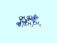 Cc1ccc(N(c2ccc(N(c3ccccc3)c3ccccc3)cc2)c2ccc(-n3c(C)c(C)c4cc(-c5ccc6c(c5)c(C)c(C)n6-c5ccc(N(c6ccc(C)cc6)c6ccc(N(c7ccccc7)c7ccccc7)cc6)cc5)ccc43)cc2)cc1